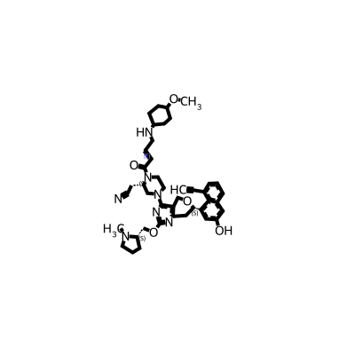 C#Cc1cccc2cc(O)cc([C@@H]3Cc4nc(OC[C@@H]5CCCN5C)nc(N5CCN(C(=O)/C=C/CNC6CCC(OC)CC6)[C@@H](CC#N)C5)c4CO3)c12